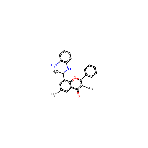 Cc1cc(C(C)Nc2ccccc2N)c2oc(-c3ccccc3)c(C)c(=O)c2c1